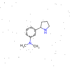 CN(C)c1cccc(C2CCCN2)c1